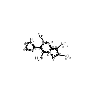 Nc1c(-c2nnn[nH]2)[n+]([O-])nc2c([N+](=O)[O-])c([N+](=O)[O-])nn12